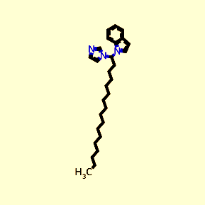 CCCCCCCCCCCCCCCCC(n1ccnc1)n1ccc2ccccc21